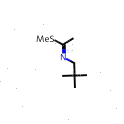 CS/C(C)=N/CC(C)(C)C